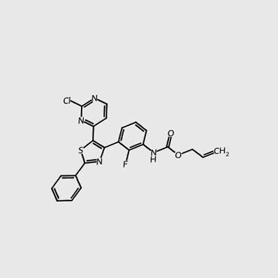 C=CCOC(=O)Nc1cccc(-c2nc(-c3ccccc3)sc2-c2ccnc(Cl)n2)c1F